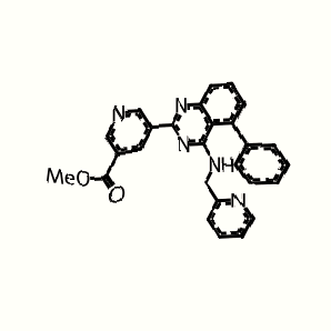 COC(=O)c1cncc(-c2nc(NCc3ccccn3)c3c(-c4ccccc4)cccc3n2)c1